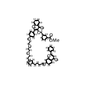 COC(=O)c1cccc(COc2c(-c3ccc(OCCOCCOCCn4cc(CCCCOc5ccc6c(=O)cc(-c7ccccc7)oc6c5)nn4)cc3)oc3ccccc3c2=O)c1